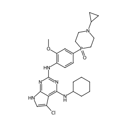 COc1cc(P2(=O)CCN(C3CC3)CC2)ccc1Nc1nc(NC2CCCCC2)c2c(Cl)c[nH]c2n1